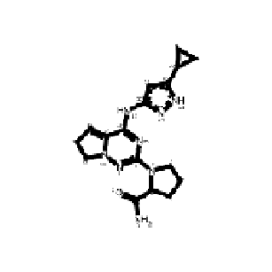 NC(=O)C1CCCN1C1=NN2CCC=C2C(Nc2cc(C3CC3)[nH]n2)=N1